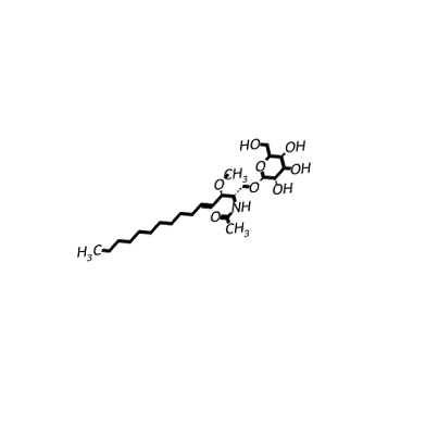 CCCCCCCCCC/C=C/[C@H](OC)[C@H](CO[C@@H]1OC(CO)[C@@H](O)C(O)[C@@H]1O)NC(C)=O